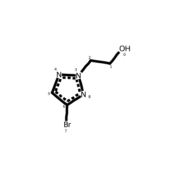 OCCn1ncc(Br)n1